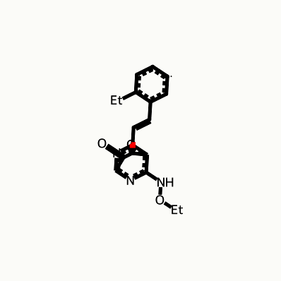 CCONc1nc2nc(C=Cc3c[c]ccc3CC)c1C(=O)C2=O